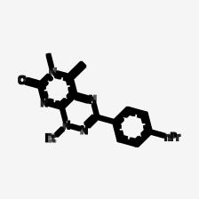 C=c1c2c(nc(=O)n1C)N(CC)N=C(c1ccc(CCC)cc1)N=2